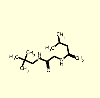 C=C(CC(C)C)NCC(=O)NCC(C)(C)C